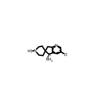 N[C@@H]1c2cc(Cl)cnc2CC12CCN(S)CC2